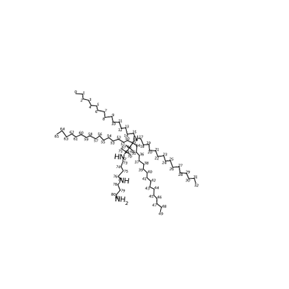 CCCCCCCCCCCCCCCCN(CCCCCCCCCCCCCCCC)C(CCCCCCCCCCCCCCCC)(CCCCCCCCCCCCCCCC)C(C)(C)C(C)(C)NCCCCNCCCN